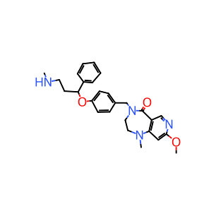 CNCCC(Oc1ccc(CN2CCN(C)c3cc(OC)ncc3C2=O)cc1)c1ccccc1